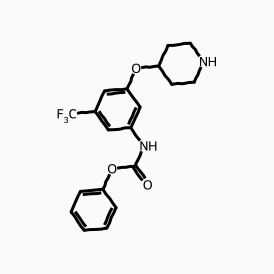 O=C(Nc1cc(OC2CCNCC2)cc(C(F)(F)F)c1)Oc1ccccc1